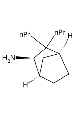 CCCC1(CCC)[C@H]2CC[C@H](C2)[C@H]1N